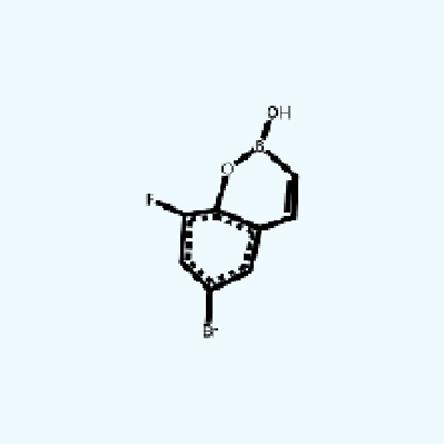 OB1C=Cc2cc(Br)cc(F)c2O1